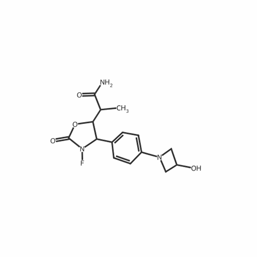 CC(C(N)=O)C1OC(=O)N(F)C1c1ccc(N2CC(O)C2)cc1